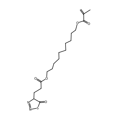 C=C(C)C(=O)OCCCCCCCCCCOC(=O)CCC1N=NSC1=O